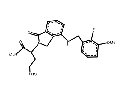 CNC(=O)C(CCC=O)N1Cc2c(NCc3cccc(OC)c3F)cccc2C1=O